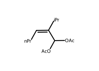 CCCC=C(C(C)C)C(OC(C)=O)OC(C)=O